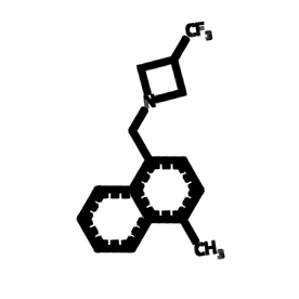 Cc1ccc(CN2CC(C(F)(F)F)C2)c2ccccc12